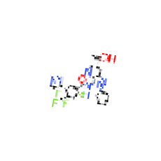 C[C@@H](O)c1cnc2c(NC(=O)c3cc(-c4ccn(C)n4)c(C(F)(F)F)cc3F)n(-c3ccccc3)nc2c1